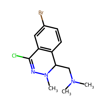 CN(C)CC1c2ccc(Br)cc2C(Cl)=NN1C